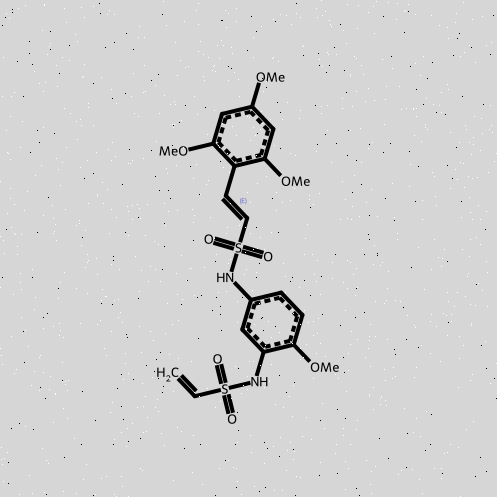 C=CS(=O)(=O)Nc1cc(NS(=O)(=O)/C=C/c2c(OC)cc(OC)cc2OC)ccc1OC